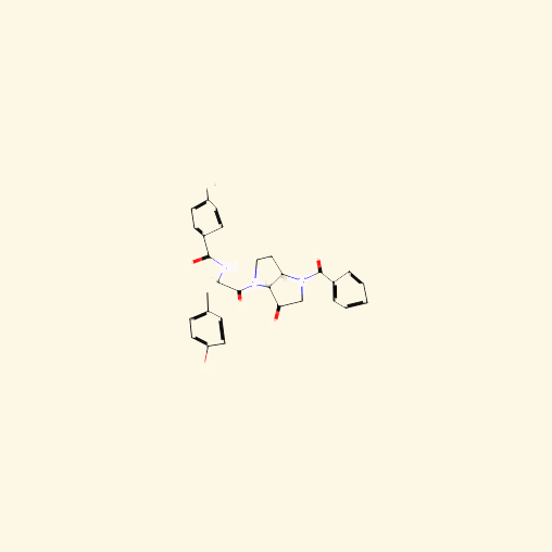 CC(C)(C)c1ccc(C(=O)N[C@@H](Cc2ccc(O)cc2)C(=O)N2CC[C@@H]3[C@H]2C(=O)CN3C(=O)c2ccccc2)cc1